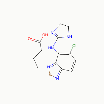 CCCC(=O)O.Clc1ccc2nsnc2c1NC1=NCCN1